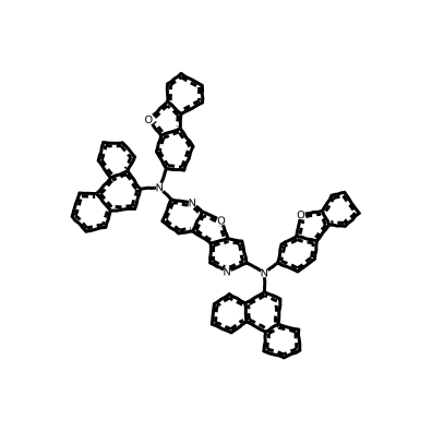 c1ccc2c(c1)cc(N(c1ccc3c(c1)oc1ccccc13)c1cc3oc4nc(N(c5ccc6c(c5)oc5ccccc56)c5cc6ccccc6c6ccccc56)ccc4c3cn1)c1ccccc12